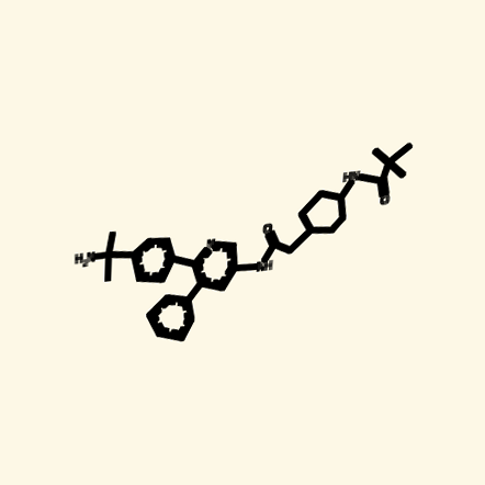 CC(C)(C)C(=O)NC1CCC(CC(=O)Nc2cnc(-c3ccc(C(C)(C)N)cc3)c(-c3ccccc3)c2)CC1